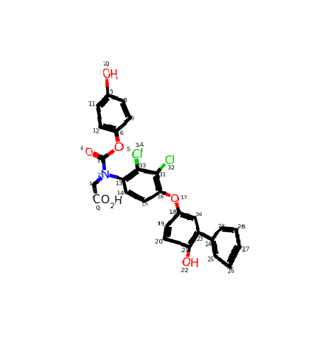 O=C(O)CN(C(=O)Oc1ccc(O)cc1)c1ccc(Oc2ccc(O)c(-c3ccccc3)c2)c(Cl)c1Cl